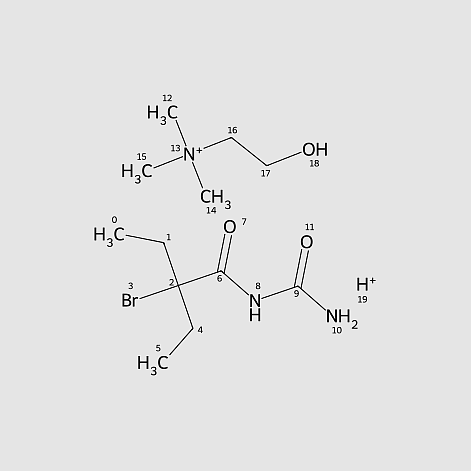 CCC(Br)(CC)C(=O)NC(N)=O.C[N+](C)(C)CCO.[H+]